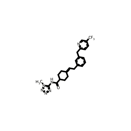 Cn1nnnc1NC(=O)C1CCC(=CCc2cccc(Cc3ccc(C(F)(F)F)cn3)c2)CC1